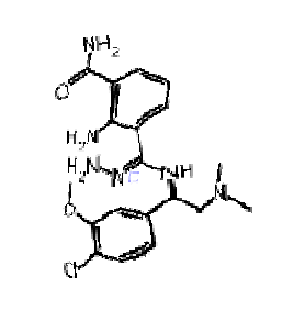 COc1cc(C(CN(C)C)N/C(=N/N)c2cccc(C(N)=O)c2N)ccc1Cl